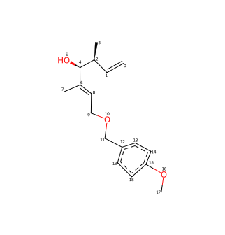 C=C[C@H](C)[C@H](O)/C(C)=C/COCc1ccc(OC)cc1